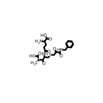 CN(C(=O)O)C(=O)C(CSCC(=O)C(=O)NCc1ccccc1)NC(=O)CCC(N)C(=O)O